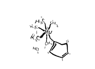 Cl.[CH3][Ru]([CH3])([CH3])([CH3])([CH3])[C]1=CC=CC1